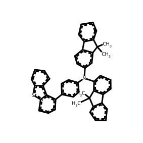 CC1(C)c2ccccc2-c2ccc(N(c3ccc(-c4cccc5sc6ccccc6c45)cc3)c3cccc4c3C(C)(C)c3ccccc3-4)cc21